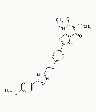 CCn1c(=O)c2[nH]c(-c3ccc(OCc4noc(-c5ccc(OC)cc5)n4)cc3)nc2n(CC)c1=O